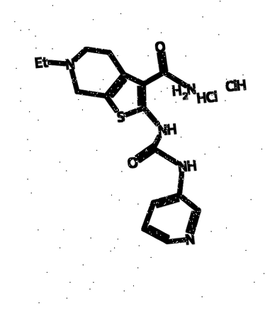 CCN1CCc2c(sc(NC(=O)Nc3cccnc3)c2C(N)=O)C1.Cl.Cl